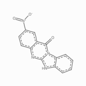 O=c1c2cc([N+](=O)[O-])ccc2nc2[nH]c3ccccc3n12